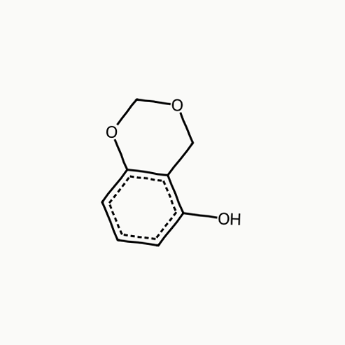 Oc1cccc2c1COCO2